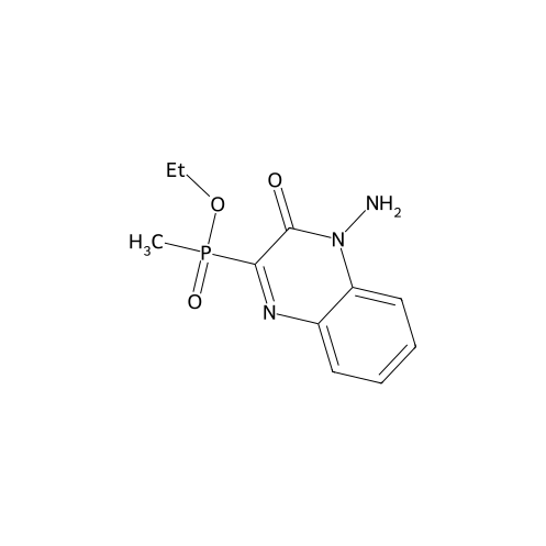 CCOP(C)(=O)c1nc2ccccc2n(N)c1=O